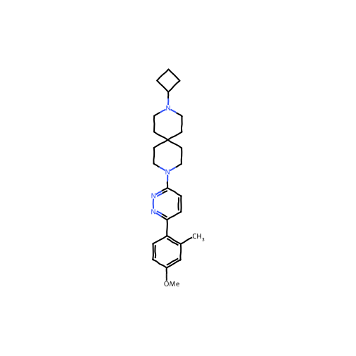 COc1ccc(-c2ccc(N3CCC4(CC3)CCN(C3CCC3)CC4)nn2)c(C)c1